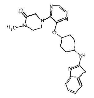 CN1CCN(c2nccnc2OC2CCC(Nc3nc4ccccc4s3)CC2)CC1=O